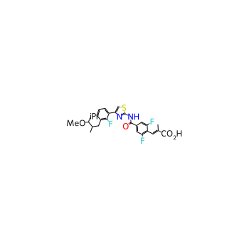 COC(C(C)C)C(C)Cc1cccc(-c2csc(NC(=O)c3cc(F)c(C=C(C)C(=O)O)c(F)c3)n2)c1F